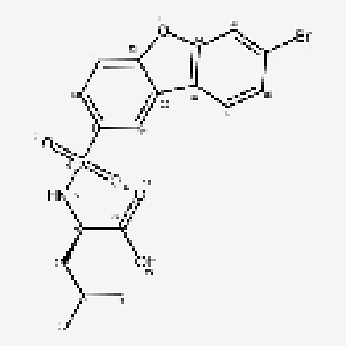 CC(C)C[C@@H](NS(=O)(=O)c1ccc2oc3cc(Br)ccc3c2c1)C(=O)O